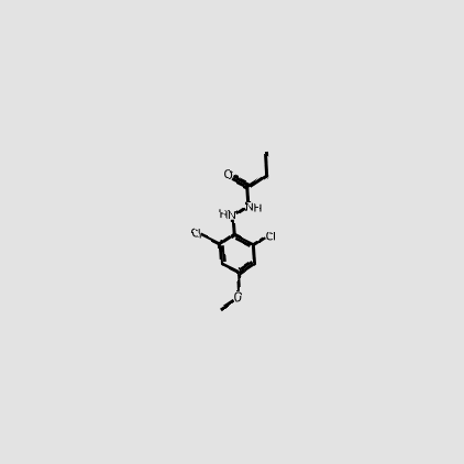 CCC(=O)NNc1c(Cl)cc(OC)cc1Cl